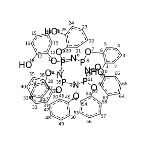 Oc1ccccc1OP1N=P(Oc2ccccc2O)(Oc2ccccc2O)N(Oc2ccccc2)P(Oc2ccccc2)N(Oc2ccccc2)P(Oc2ccccc2)N1Oc1ccccc1